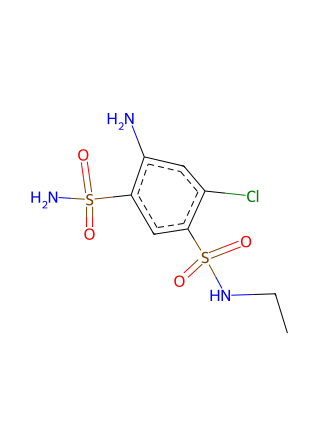 CCNS(=O)(=O)c1cc(S(N)(=O)=O)c(N)cc1Cl